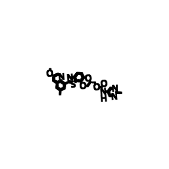 COc1cnc2c(-c3nc4ccc5c(c4s3)OC[C@H](COC(=O)Nc3cnc(C)nc3)O5)cc(C)cc2c1